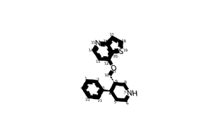 c1ccc([C@@H]2CCNC[C@H]2COc2ccnc3ccsc23)cc1